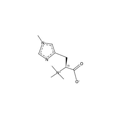 Cn1cnc(C[C@@H](C(=O)[O-])[N+](C)(C)C)c1